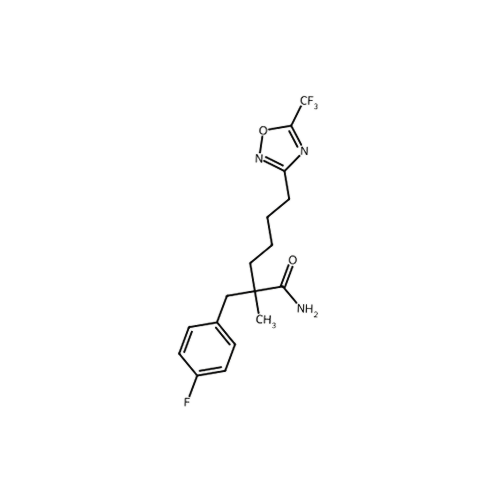 CC(CCCCc1noc(C(F)(F)F)n1)(Cc1ccc(F)cc1)C(N)=O